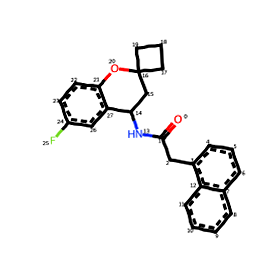 O=C(Cc1cccc2ccccc12)NC1CC2(CCC2)Oc2ccc(F)cc21